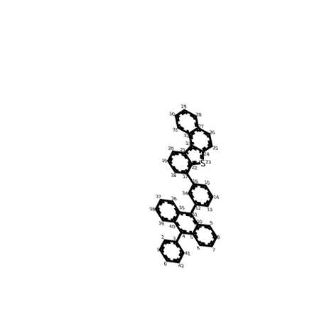 c1ccc(-c2c3ccccc3c(-c3cccc(-c4cccc5c4sc4ccc6ccccc6c45)c3)c3ccccc23)cc1